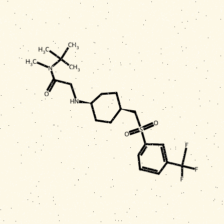 CN(C(=O)CN[C@H]1CC[C@@H](CS(=O)(=O)c2cccc(C(F)(F)F)c2)CC1)C(C)(C)C